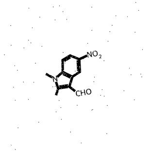 Cc1c(C=O)c2cc([N+](=O)[O-])ccc2n1C